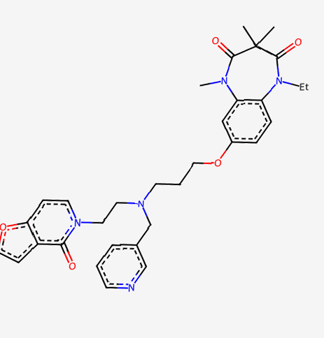 CCN1C(=O)C(C)(C)C(=O)N(C)c2cc(OCCCN(CCn3ccc4occc4c3=O)Cc3cccnc3)ccc21